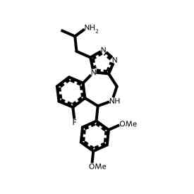 COc1ccc(C2NCc3nnc(CC(C)N)n3-c3cccc(F)c32)c(OC)c1